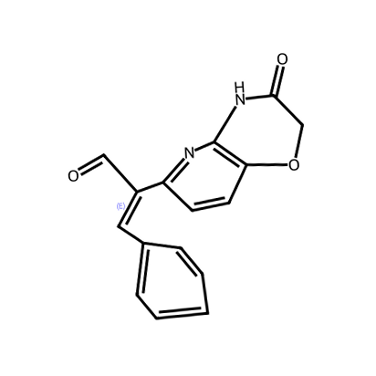 O=C/C(=C/c1ccccc1)c1ccc2c(n1)NC(=O)CO2